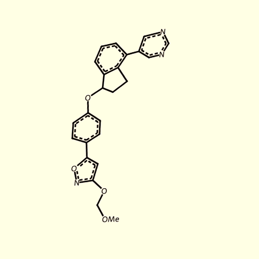 COCOc1cc(-c2ccc(OC3CCc4c(-c5cncnc5)cccc43)cc2)on1